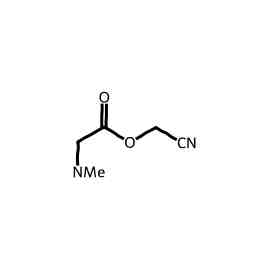 CNCC(=O)OCC#N